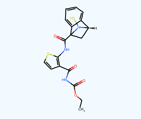 CCOC(=O)NC(=O)c1ccsc1NC(=O)C12C[C@@H](c3ccccc31)N2S